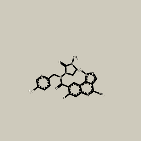 CN1CCN(N(Cc2ccc(C(F)(F)F)cn2)C(=O)c2cc3c(cc2F)nc(N)c2cnn(C)c23)C1=O